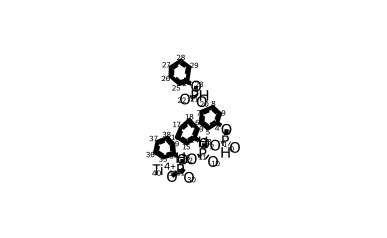 O=[PH]([O-])Oc1ccccc1.O=[PH]([O-])Oc1ccccc1.O=[PH]([O-])Oc1ccccc1.O=[PH]([O-])Oc1ccccc1.[Ti+4]